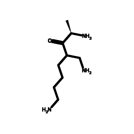 C[C@H](N)C(=O)C(CN)CCCCN